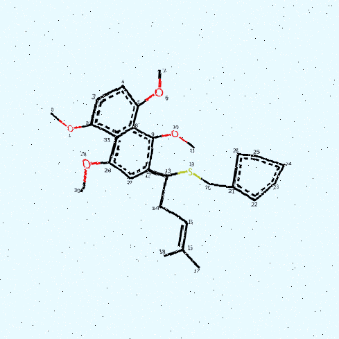 COc1ccc(OC)c2c(OC)c(C(CC=C(C)C)SCc3ccccc3)cc(OC)c12